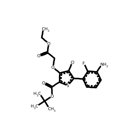 CCOC(=O)COc1c(C(=O)OC(C)(C)C)sc(-c2cccc(N)c2F)c1Cl